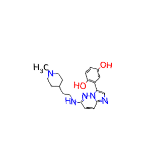 CN1CCC(CCNc2ccc3ncc(-c4cc(O)ccc4O)n3n2)CC1